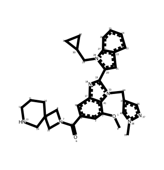 COc1cc(C(=O)N2CC3(CCCNC3)C2)cc2nc(-c3cc4ccccc4n3CC3CC3)n(Cc3cnn(C)c3)c12